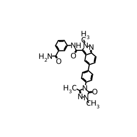 Cc1nn(C)c(=O)n1-c1ccc(-c2ccc3nn(C)c(C(=O)Nc4cccc(C(N)=O)c4)c3c2)cc1